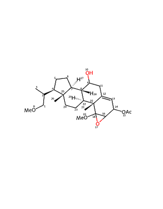 COCC(C)[C@H]1CC[C@H]2[C@@H]3C(O)CC4=CC(OC(C)=O)C5OC5(OC)[C@]4(C)[C@H]3CC[C@]12C